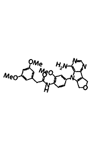 COc1cc(CC(=O)Nc2ccc(-n3c4c(c5ncnc(N)c53)COC4)cc2OC)cc(OC)c1